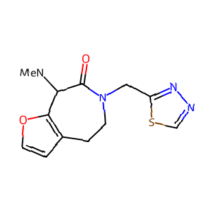 CNC1C(=O)N(Cc2nncs2)CCc2ccoc21